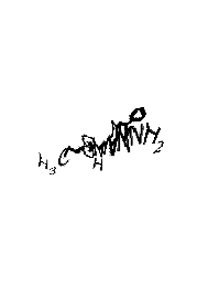 CCCCOC(=O)N/C=N/c1ncc(-c2ccccc2)c(N)n1